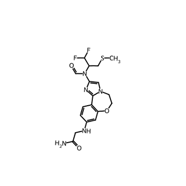 CSCC(C(F)F)N(C=O)c1cn2c(n1)-c1ccc(NCC(N)=O)cc1OCC2